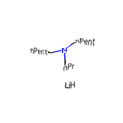 [CH2]CCN(CCCCC)CCCCC.[LiH]